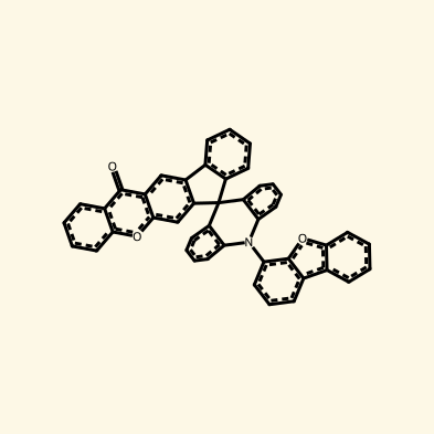 O=c1c2ccccc2oc2cc3c(cc12)-c1ccccc1C31c2ccccc2N(c2cccc3c2oc2ccccc23)c2ccccc21